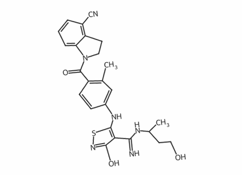 Cc1cc(Nc2snc(O)c2C(=N)NC(C)CCO)ccc1C(=O)N1CCc2c(C#N)cccc21